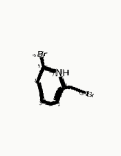 BrC1=CC=CC(Br)N1